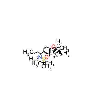 CCCC(c1ccc(O[Si](C)(C)C(C)(C)C)cc1)N(C)[S+]([O-])C(C)(C)C